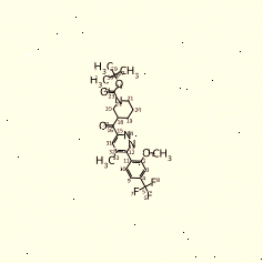 COc1cc(C(F)(F)F)ccc1-c1nnc(C(=O)C2CCCN(C(=O)OC(C)(C)C)C2)cc1C